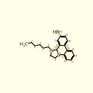 Br.CCCCCCN1CCN2c3ccccc3-c3ccccc3C12